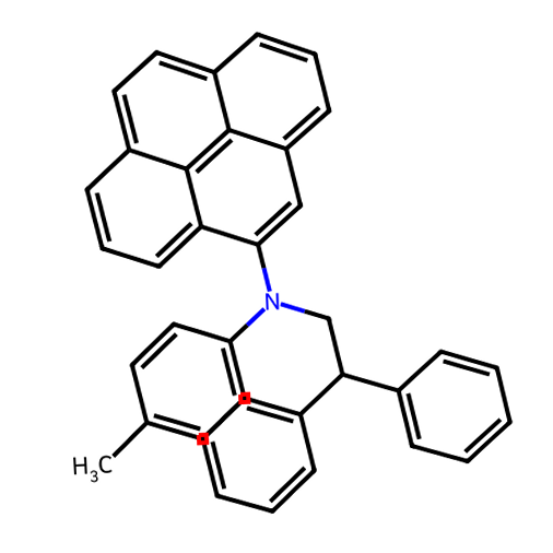 Cc1ccc(N(CC(c2ccccc2)c2ccccc2)c2cc3cccc4ccc5cccc2c5c43)cc1